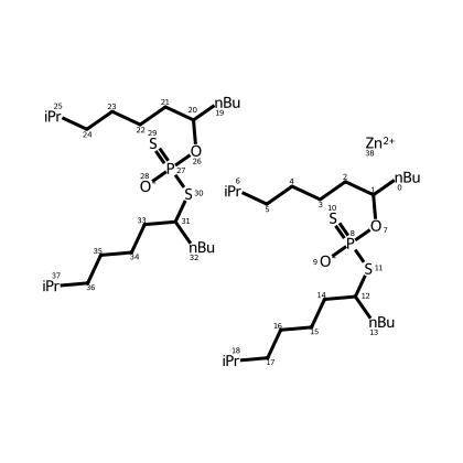 CCCCC(CCCCC(C)C)OP([O-])(=S)SC(CCCC)CCCCC(C)C.CCCCC(CCCCC(C)C)OP([O-])(=S)SC(CCCC)CCCCC(C)C.[Zn+2]